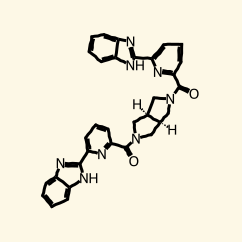 O=C(c1cccc(-c2nc3ccccc3[nH]2)n1)N1C[C@H]2CN(C(=O)c3cccc(-c4nc5ccccc5[nH]4)n3)C[C@H]2C1